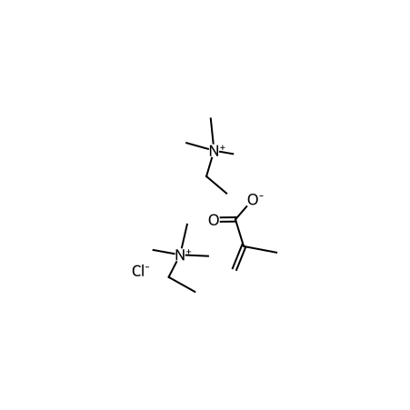 C=C(C)C(=O)[O-].CC[N+](C)(C)C.CC[N+](C)(C)C.[Cl-]